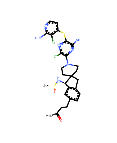 CNC(=O)CCc1ccc2c(c1)[C@@H](N[S@+]([O-])C(C)(C)C)C1(CCN(c3nc(N)c(Sc4ccnc(N)c4Cl)nc3Cl)CC1)C2